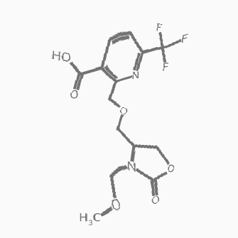 COCN1C(=O)OCC1COCc1nc(C(F)(F)F)ccc1C(=O)O